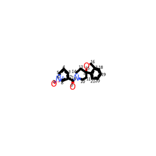 O=C(c1ccc[n+]([O-])c1)N1CCC2(CC1)OCc1ccccc12